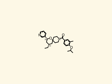 CC[C@H]1C[C@@H](c2cccnc2)OC2(CCN(C(=O)c3ccc(OC(C)C)c(C)c3)CC2)C1